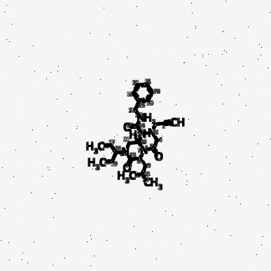 C#CCN1CC(=O)N2[C@@H](CC(C)C)C(=O)N(C(CC)CC)C[C@@H]2N1C(=O)NCc1ccccc1